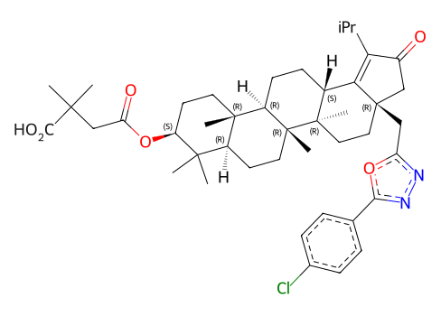 CC(C)C1=C2[C@H]3CC[C@@H]4[C@@]5(C)CC[C@H](OC(=O)CC(C)(C)C(=O)O)C(C)(C)[C@@H]5CC[C@@]4(C)[C@]3(C)CC[C@@]2(Cc2nnc(-c3ccc(Cl)cc3)o2)CC1=O